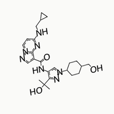 CC(C)(O)c1nn(C2CCC(CO)CC2)cc1NC(=O)c1cnn2ccc(NCC3CC3)nc12